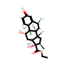 CCSC(=O)[C@@]1(O)[C@H](C)C[C@H]2[C@@H]3C[C@H](F)C4=CC(=O)C=C[C@]4(C)[C@@]3(F)[C@@H](O)C[C@@]21C